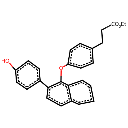 CCOC(=O)CCc1ccc(Oc2c(-c3ccc(O)cc3)ccc3ccccc23)cc1